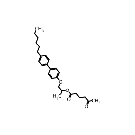 CCCCCCc1ccc(-c2ccc(OCC(C)OC(=O)CCCC(C)=O)cc2)cc1